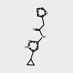 O=C(Cc1cccs1)Nc1cc(C2CC2)[nH]n1